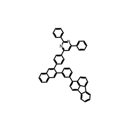 c1ccc(-c2cc(-c3ccc(-c4cc5ccccc5cc4-c4cccc(-c5ccc6c7c(cccc57)-c5ccccc5-6)c4)cc3)nc(-c3ccccc3)n2)cc1